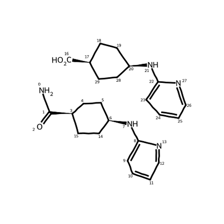 NC(=O)[C@H]1CC[C@@H](Nc2ccccn2)CC1.O=C(O)[C@H]1CC[C@@H](Nc2ccccn2)CC1